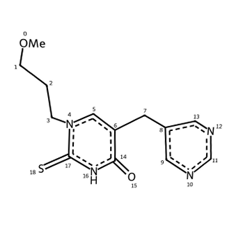 COCCCn1cc(Cc2cncnc2)c(=O)[nH]c1=S